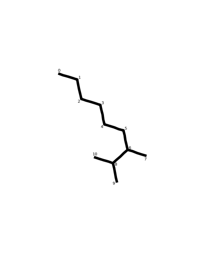 CCCCCCC(C)C(C)C